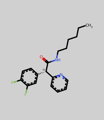 CCCCCCNC(=O)[C@@H](c1ccc(F)c(F)c1)c1ccccn1